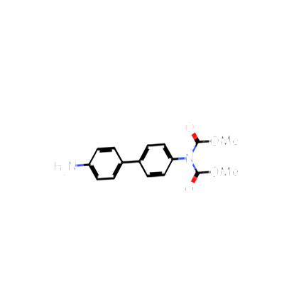 COC(=O)N(C(=O)OC)c1ccc(-c2ccc(N)cc2)cc1